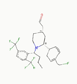 CCCC(c1cc(C(F)(F)F)ccc1C(F)(F)F)N1CC[C@H](CC=O)C[C@@H]1C1C=CC(CF)=CC1